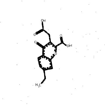 CCc1ccc2c(=O)c(CC(=O)O)c(C(=O)O)oc2c1